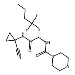 CCCC(F)(F)C[C@H](NC(=O)N1CCOCC1)C(=O)NC1(C#N)CC1